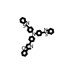 c1ccc2sc(-c3ccc(N(c4ccc(-c5cc6oc7ccccc7c6cn5)cc4)c4ccc(-c5nc6ccccc6s5)cc4)cc3)nc2c1